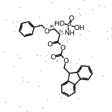 C[C@@H](OCc1ccccc1)[C@H](NP(=O)(O)O)C(=O)OC(=O)OCC1c2ccccc2-c2ccccc21